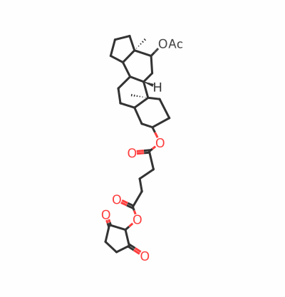 CC(=O)OC1C[C@H]2C(CCC3CC(OC(=O)CCCC(=O)OC4C(=O)CCC4=O)CC[C@@]32C)C2CCC[C@@]12C